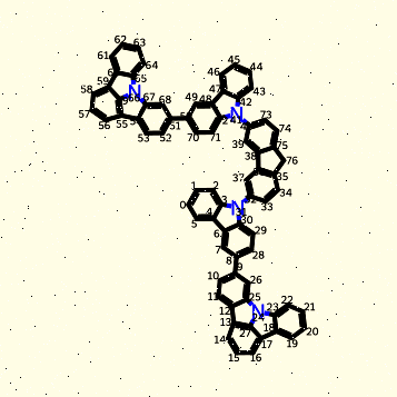 c1ccc2c(c1)c1cc(-c3ccc4c5cccc6c7ccccc7n(c4c3)c65)ccc1n2-c1ccc2c(c1)-c1cc(-n3c4ccccc4c4cc(-c5ccc6c7cccc8c9ccccc9n(c6c5)c87)ccc43)ccc1C2